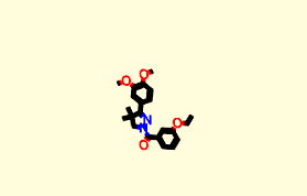 CCOc1cccc(C(=O)N2CC(C)(C)C(c3ccc(OC)c(OC)c3)=N2)c1